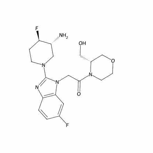 N[C@@H]1CN(c2nc3ccc(F)cc3n2CC(=O)N2CCOC[C@H]2CO)CC[C@H]1F